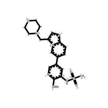 COc1ncc(-c2ccc3ncc(CN4CCOCC4)n3c2)cc1NS(C)(=O)=O